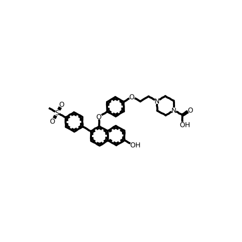 CS(=O)(=O)c1ccc(-c2ccc3cc(O)ccc3c2Oc2ccc(OCCN3CCN(C(=O)O)CC3)cc2)cc1